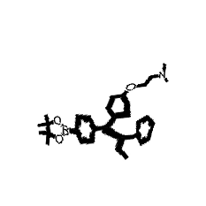 CCC(=C(C1=C=C=C(OCCN(C)C)C=C1)c1ccc(B2OC(C)(C)C(C)(C)O2)cc1)c1ccccc1